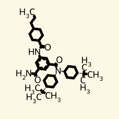 CCCC1CCC(C(=O)Nc2cc(C(N)=O)cc(C(=O)N([C@H]3CC[C@@H](C(C)(C)C)CC3)[C@H]3CC[C@@H](C(C)(C)C)CC3)c2)CC1